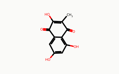 CC1=C(O)C(=O)c2cc(O)cc(O)c2C1=O